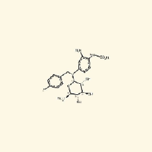 CCOC(=O)Nc1ccc(N(Cc2ccc(F)cc2)[C@@H]2O[C@H](C(=O)O)[C@@H](O)[C@H](O)[C@H]2O)cc1N